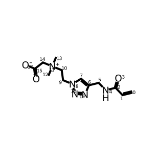 C=CC(=O)NCc1cn(CC[N+](C)(C)CC(=O)[O-])nn1